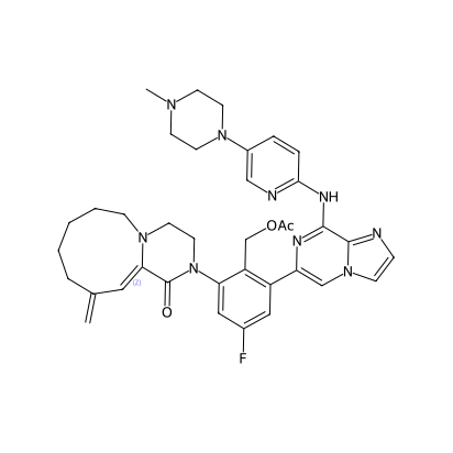 C=C1/C=C2/C(=O)N(c3cc(F)cc(-c4cn5ccnc5c(Nc5ccc(N6CCN(C)CC6)cn5)n4)c3COC(C)=O)CCN2CCCCC1